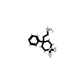 NCCC1(c2ccccc2)CCS(=O)(=O)CC1